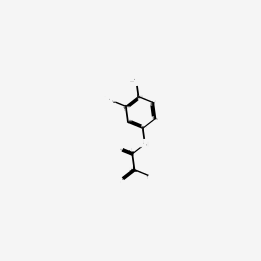 [C-]#[N+]c1ccc(NC(=O)C(=C)C)cc1[N+]#[C-]